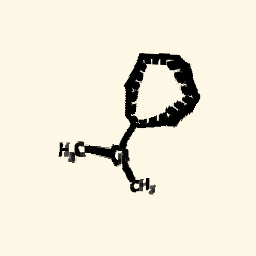 [CH3][Ga]([CH3])[c]1ccccc1